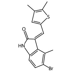 Cc1cc(C=C2C(=O)Nc3ccc(Br)c(C)c32)sc1C